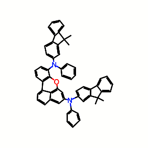 CC1(C)c2ccccc2-c2ccc(N(c3ccccc3)c3cc4c5c(cccc5c3)-c3cccc(N(c5ccccc5)c5ccc6c(c5)C(C)(C)c5ccccc5-6)c3O4)cc21